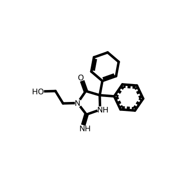 N=C1NC(C2=CCCC=C2)(c2ccccc2)C(=O)N1CCO